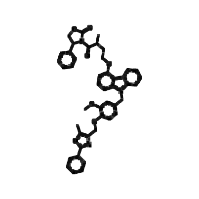 COc1cc(Cn2c3ccccc3c3c(OCCC(C)C(=O)N4C(=O)OCC4c4ccccc4)cccc32)ccc1OCc1nc(-c2ccccc2)oc1C